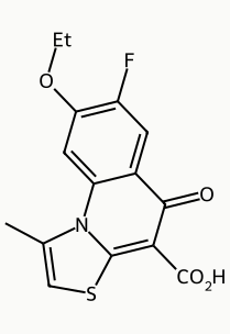 CCOc1cc2c(cc1F)c(=O)c(C(=O)O)c1scc(C)n12